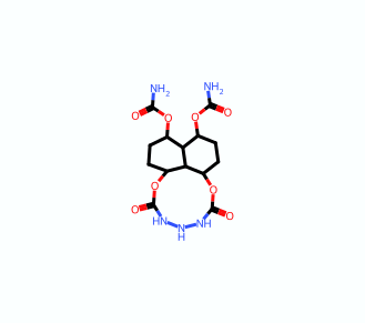 NC(=O)OC1CCC2OC(=O)NNNC(=O)OC3CCC(OC(N)=O)C1C23